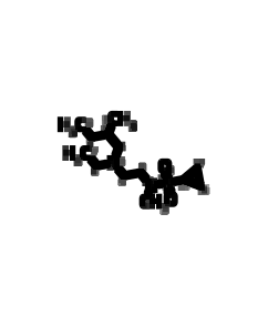 CCC(C)CN(CC)CCN(C)S(=O)(=O)C1CC1